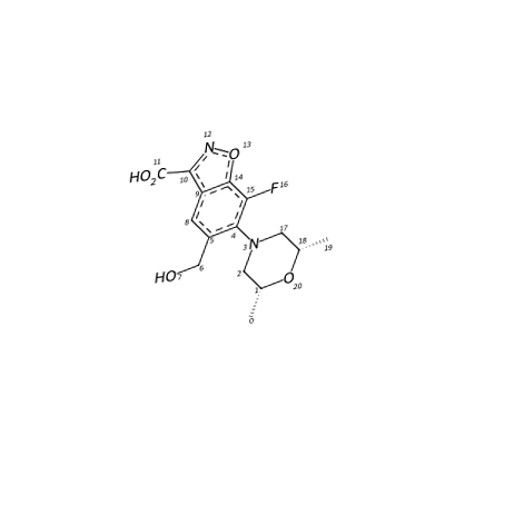 C[C@@H]1CN(c2c(CO)cc3c(C(=O)O)noc3c2F)C[C@H](C)O1